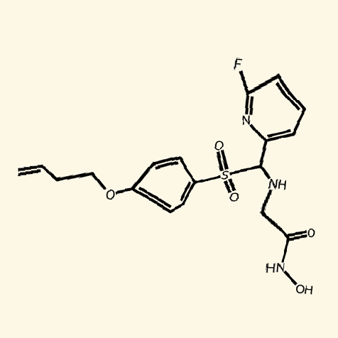 C=CCCOc1ccc(S(=O)(=O)C(NCC(=O)NO)c2cccc(F)n2)cc1